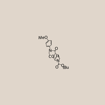 COc1ccc(N(CC(=O)O)C(=O)C2CCN(C(=O)OC(C)(C)C)CC2)cc1